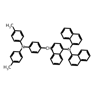 Cc1ccc(N(c2ccc(C)cc2)c2ccc(C)cc2)cc1.c1ccc2c(N(c3cccc4ccccc34)c3cccc4ccccc34)cccc2c1